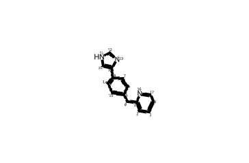 c1ccc(Cc2ccc(-c3c[nH]cn3)cc2)nc1